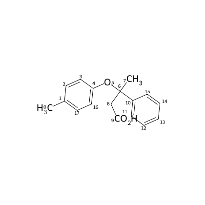 Cc1ccc(OC(C)(CC(=O)O)c2ccccc2)cc1